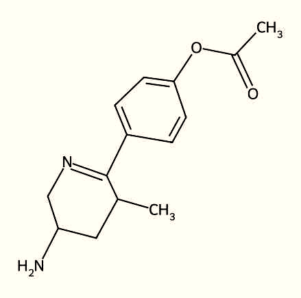 CC(=O)Oc1ccc(C2=NCC(N)CC2C)cc1